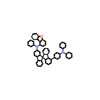 C1=CC2c3c(-c4ccc(N(c5ccccc5)c5ccccc5)cc4)cccc3C3(c4ccccc4-c4ccc(N(c5ccccc5)c5cccc6oc7c(c56)CCC=C7)cc43)C2C=C1